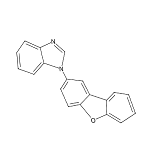 c1ccc2c(c1)ncn2-c1ccc2oc3ccccc3c2c1